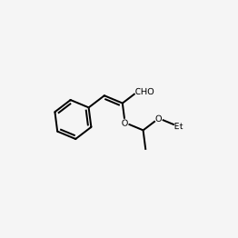 CCOC(C)OC(C=O)=Cc1ccccc1